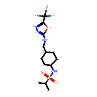 CC(C)S(=O)(=O)NC1CCC(CNc2nnc(C(F)(F)F)s2)CC1